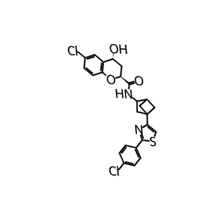 O=C(NC1CC2(c3csc(-c4ccc(Cl)cc4)n3)CC1C2)[C@@H]1C[C@@H](O)c2cc(Cl)ccc2O1